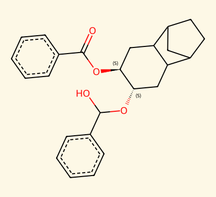 O=C(O[C@H]1CC2C3CCC(C3)C2C[C@@H]1OC(O)c1ccccc1)c1ccccc1